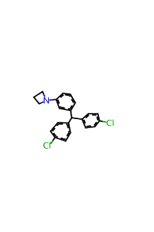 Clc1ccc(C(c2ccc(Cl)cc2)c2cccc(N3CCC3)c2)cc1